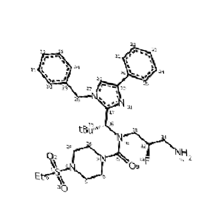 CCS(=O)(=O)N1CCN(C(=O)N(C[C@H](F)CN)[C@@H](c2nc(-c3ccccc3)cn2Cc2ccccc2)C(C)(C)C)CC1